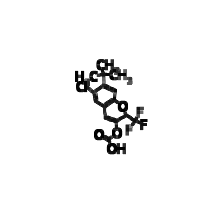 CC(C)(C)c1cc2c(cc1Cl)C=C(OC(=O)O)C(C(F)(F)F)O2